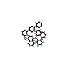 c1ccc(-c2ccc(-c3cccc4oc5c6ccccc6c(N(c6ccccc6)c6ccccc6-c6ccccc6)cc5c34)cc2)cc1